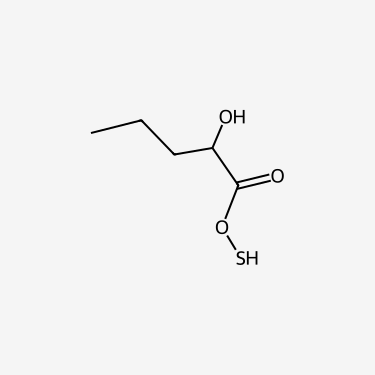 CCCC(O)C(=O)OS